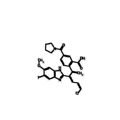 C=C(/C(=C\C=C/Cl)c1nc2cc(F)c(OC)cc2[nH]1)c1ccc(C(=O)N2CCCC2)cc1C(=O)O